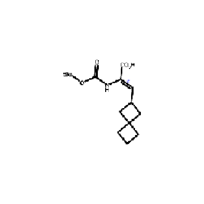 CC(C)(C)OC(=O)N/C(=C\C1CC2(CCC2)C1)C(=O)O